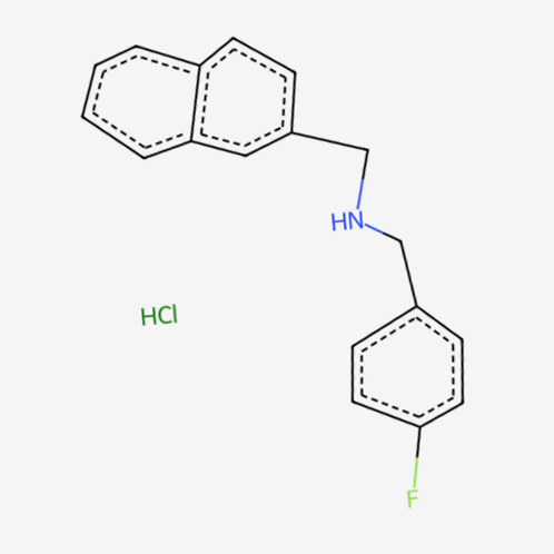 Cl.Fc1ccc(CNCc2ccc3ccccc3c2)cc1